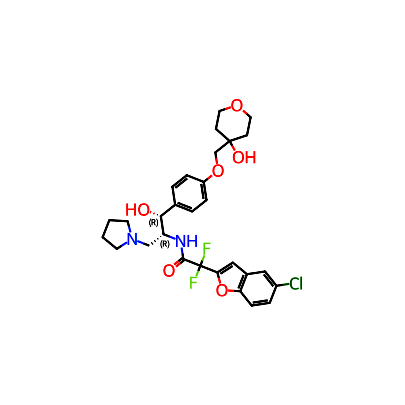 O=C(N[C@H](CN1CCCC1)[C@H](O)c1ccc(OCC2(O)CCOCC2)cc1)C(F)(F)c1cc2cc(Cl)ccc2o1